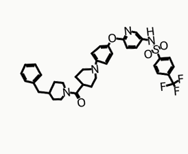 O=C(C1CCN(c2ccc(Oc3ccc(NS(=O)(=O)c4ccc(C(F)(F)F)cc4)cn3)cc2)CC1)N1CCC(Cc2ccccc2)CC1